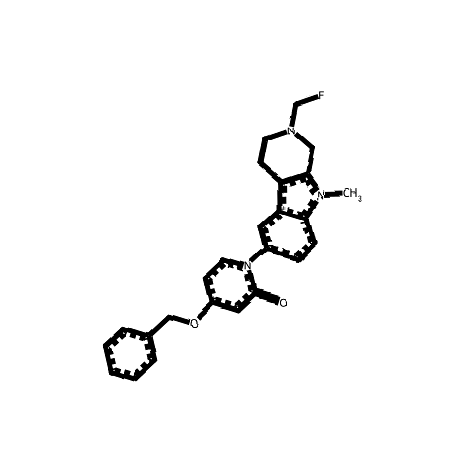 Cn1c2c(c3cc(-n4ccc(OCc5ccccc5)cc4=O)ccc31)CCN(CF)C2